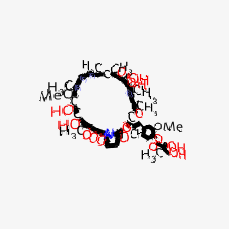 CO[C@H]1CC(O)CC(O)[C@@H](C)C(=O)C(=O)C(=O)N2CCCC[C@H]2C(=O)O[C@H](C(C)C[C@@H]2CC[C@@H](OC(=O)C(C)(CO)CO)[C@H](OC)C2)CC(=O)[C@H](C)/C=C(\C)[C@@H](O)[C@@H](CO)C(=O)[C@H](C)C[C@H](C)/C=C/C=C/C=C/1C